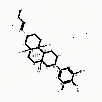 CCC=C[C@@H]1CC[C@H]2[C@H](CC[C@H]3C[C@H](c4cc(F)c(Cl)c(F)c4)CC[C@@H]32)C1